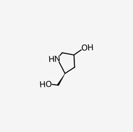 OC[C@@H]1CC(O)CN1